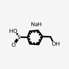 O=S(O)c1ccc(CO)cc1.[NaH]